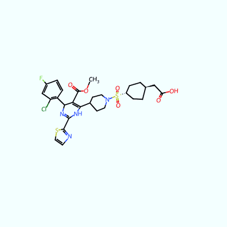 COC(=O)C1=C(C2CCN(S(=O)(=O)[C@H]3CC[C@H](CC(=O)O)CC3)CC2)NC(c2nccs2)=NC1c1ccc(F)cc1Cl